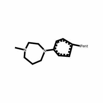 CCCC(C)c1ccc(N2CCCN(C)CC2)cc1